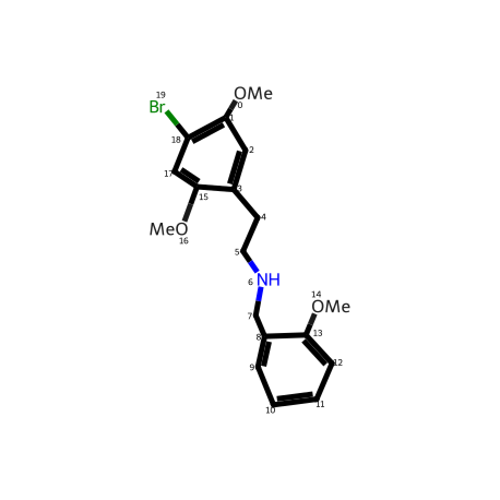 COc1cc(CCNCc2ccccc2OC)c(OC)cc1Br